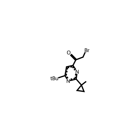 CC(C)(C)c1cc(C(=O)CBr)nc(C2(C)CC2)n1